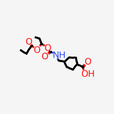 CCC(=O)OC(CC)OC(=O)NCC1CCC(C(=O)O)CC1